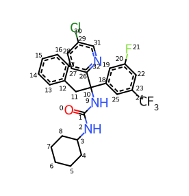 O=C(NC1CCCCC1)NC(Cc1ccccc1)(c1cc(F)cc(C(F)(F)F)c1)c1ccc(Cl)cn1